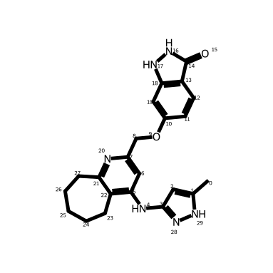 Cc1cc(Nc2cc(COc3ccc4c(=O)[nH][nH]c4c3)nc3c2CCCCC3)n[nH]1